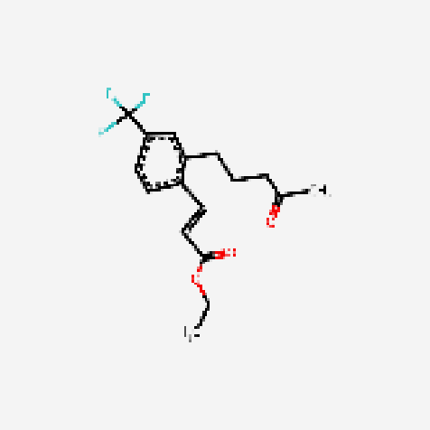 CCOC(=O)/C=C/c1ccc(C(F)(F)F)cc1CCCC(C)=O